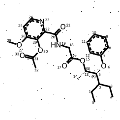 CCC(CC)[C@@H](Oc1ccccc1)[C@H](C)OC(=O)CNC(=O)c1nccc(OC)c1OC(C)=O